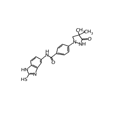 CC1(C)CN(c2ccc(C(=O)Nc3ccc4[nH]c(S)nc4c3)cc2)NC1=O